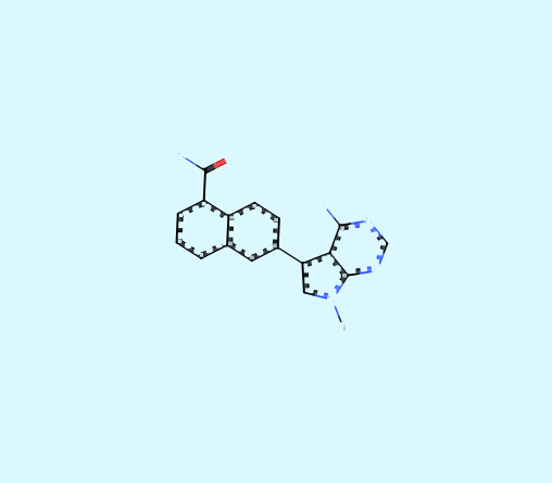 CC(C)n1cc(-c2ccc3c(C(N)=O)cccc3c2)c2c(N)ncnc21